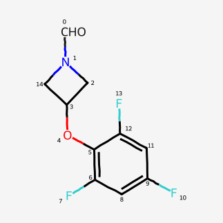 O=CN1CC(Oc2c(F)cc(F)cc2F)C1